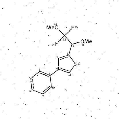 COC(c1cc(-c2ccccc2)cs1)C(F)(F)OC